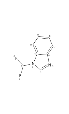 FC(F)n1cnc2ccccc21